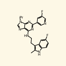 Cc1[nH]c2ccc(F)cc2c1CCNc1nc(-c2cncc(F)c2)nc2c1ncn2C(C)C